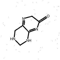 O=C1CN=C2CNCNC2=N1